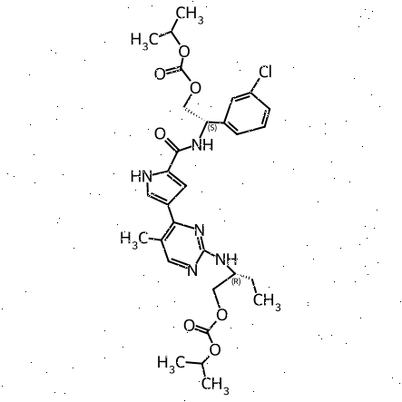 CC[C@H](COC(=O)OC(C)C)Nc1ncc(C)c(-c2c[nH]c(C(=O)N[C@H](COC(=O)OC(C)C)c3cccc(Cl)c3)c2)n1